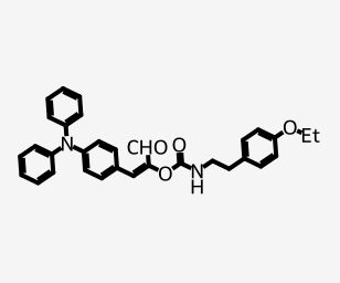 CCOc1ccc(CCNC(=O)O/C(C=O)=C/c2ccc(N(c3ccccc3)c3ccccc3)cc2)cc1